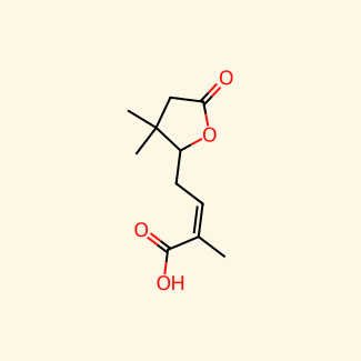 CC(=CCC1OC(=O)CC1(C)C)C(=O)O